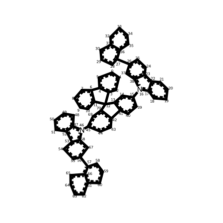 c1ccc2c(c1)-c1ccccc1C21c2cc(-n3c4ccccc4c4ccc(-c5cccc6ccccc56)cc43)ccc2-c2ccc(-n3c4ccccc4c4ccc(-c5cccc6ccccc56)cc43)cc21